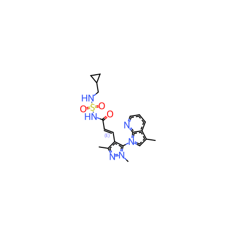 Cc1nn(C)c(-n2cc(C)c3cccnc32)c1/C=C/C(=O)NS(=O)(=O)NCC1CC1